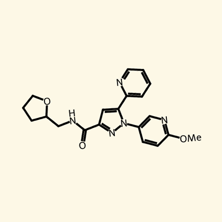 COc1ccc(-n2nc(C(=O)NCC3CCCO3)cc2-c2ccccn2)cn1